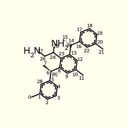 Cc1cccc([C@@H](C)c2cc(C)cc([C@H](C)c3cccc(C)c3)c2C(N)CN)c1